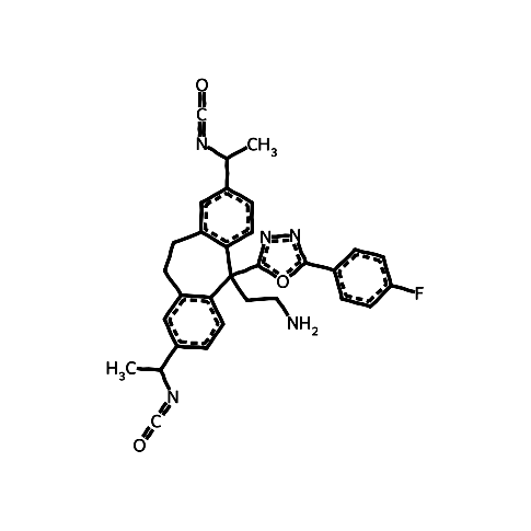 CC(N=C=O)c1ccc2c(c1)CCc1cc(C(C)N=C=O)ccc1C2(CCN)c1nnc(-c2ccc(F)cc2)o1